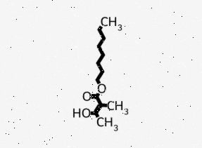 CCCCCCCCOC(=O)/C(C)=C(/C)O